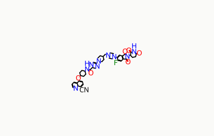 N#Cc1ccc(O[C@H]2CC[C@H](NC(=O)c3cnc(N4CCC(CN5CCN(c6cc7c(cc6F)C(=O)N(C6CCC(=O)NC6=O)C7=O)CC5)CC4)cn3)CC2)c2cccnc12